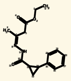 CCOC(=O)CC(C)=NNC(=O)C1CC1c1ccccc1